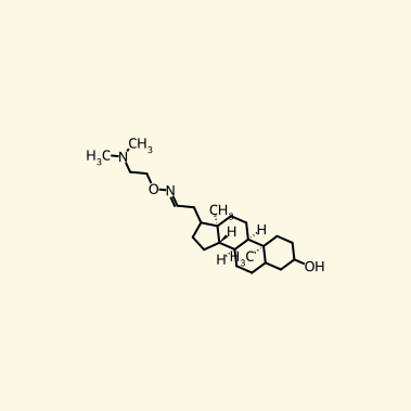 CN(C)CCON=CCC1CC[C@H]2[C@@H]3CCC4CC(O)CC[C@]4(C)[C@@H]3CC[C@]12C